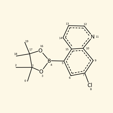 CC1(C)OB(c2cc(Cl)cc3ncccc23)OC1(C)C